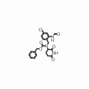 O=CNc1cc(Cl)ccc1CN(C(=O)OCc1ccccc1)C1CCC(=O)NC1=O